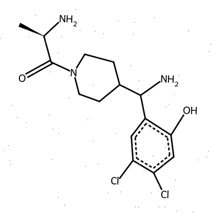 C[C@@H](N)C(=O)N1CCC(C(N)c2cc(Cl)c(Cl)cc2O)CC1